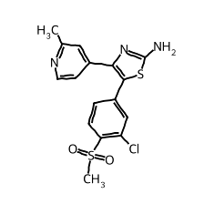 Cc1cc(-c2nc(N)sc2-c2ccc(S(C)(=O)=O)c(Cl)c2)ccn1